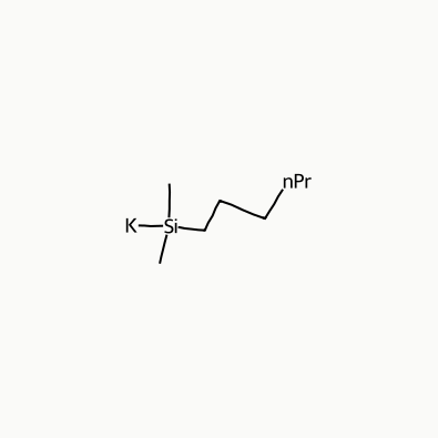 CCCCCC[Si](C)(C)[K]